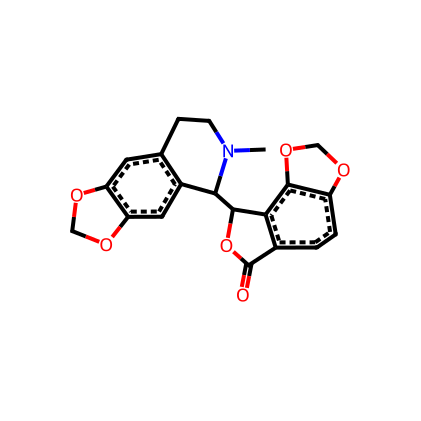 CN1CCc2cc3c(cc2C1C1OC(=O)c2ccc4c(c21)OCO4)OCO3